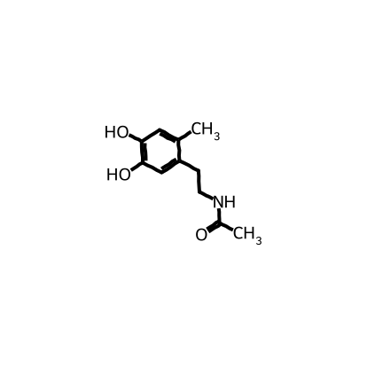 CC(=O)NCCc1cc(O)c(O)cc1C